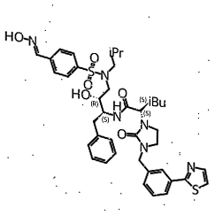 CC[C@H](C)[C@@H](C(=O)N[C@@H](Cc1ccccc1)[C@H](O)CN(CC(C)C)S(=O)(=O)c1ccc(C=NO)cc1)N1CCN(Cc2cccc(-c3nccs3)c2)C1=O